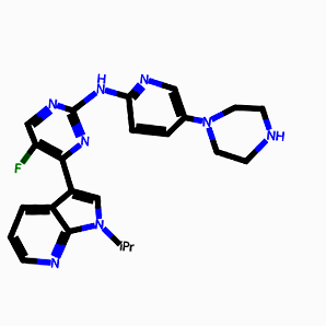 CC(C)n1cc(-c2nc(Nc3ccc(N4CCNCC4)cn3)ncc2F)c2cccnc21